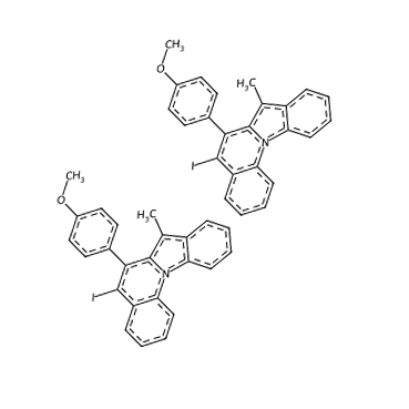 COc1ccc(-c2c(I)c3ccccc3n3c2c(C)c2ccccc23)cc1.COc1ccc(-c2c(I)c3ccccc3n3c2c(C)c2ccccc23)cc1